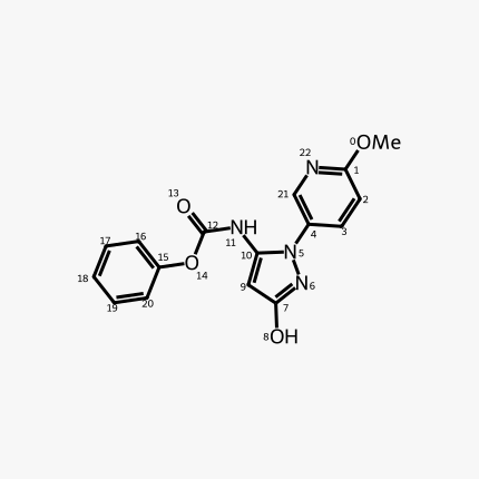 COc1ccc(-n2nc(O)cc2NC(=O)Oc2ccccc2)cn1